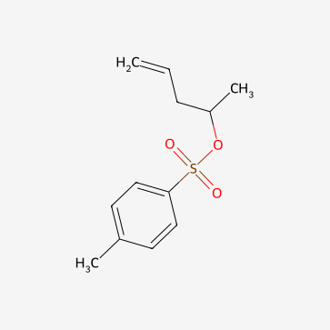 C=CCC(C)OS(=O)(=O)c1ccc(C)cc1